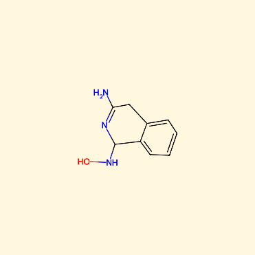 NC1=NC(NO)c2ccccc2C1